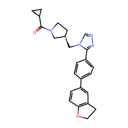 O=C(C1CC1)N1CC[C@@H](Cn2cnnc2-c2ccc(-c3ccc4c(c3)CCO4)cc2)C1